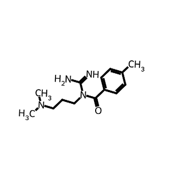 Cc1ccc(C(=O)N(CCCN(C)C)C(=N)N)cc1